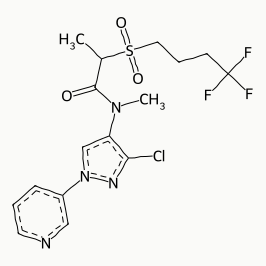 CC(C(=O)N(C)c1cn(-c2cccnc2)nc1Cl)S(=O)(=O)CCCC(F)(F)F